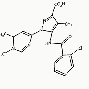 Cc1c(C(=O)O)nn(C2=CC(C)N(C)C=N2)c1NC(=O)c1ccccc1Cl